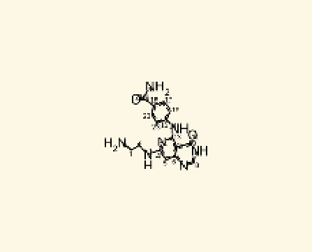 NCCNc1cc2nc[nH]c(=O)c2c(Nc2ccc(C(N)=O)cc2)n1